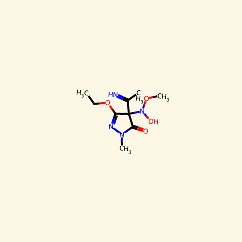 CCOC1=NN(C)C(=O)C1(C(C)=N)N(O)OC